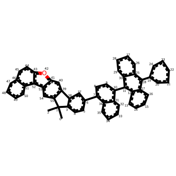 CC1(C)c2ccc(-c3ccc(-c4c5ccccc5c(-c5ccccc5)c5ccccc45)c4ccccc34)cc2-c2cc3oc4ccc5ccccc5c4c3cc21